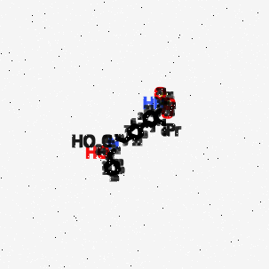 CC(C)Cc1cc(-c2ccc(CCN(C[C@@H](O)c3ccccc3)C(=O)O)cc2)ccc1C(=O)NS(C)(=O)=O